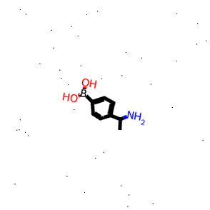 CC(N)c1ccc(B(O)O)cc1